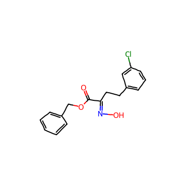 O=C(OCc1ccccc1)C(CCc1cccc(Cl)c1)=NO